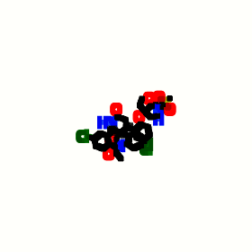 CCC(CC)(Oc1ccc(Cl)cc1[C@@H]1CC(=O)N[C@H](c2cc(Cl)ccc2C)[C@@]12C(=O)N(C(C)=O)c1cc(Cl)ccc12)C(=O)NS(C)(=O)=O